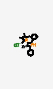 Cc1c(C)c(C)p(-c2c(-c3ccccc3)[pH]c(-c3ccccc3)[c]2[Zr+2])c1C.[Cl-].[Cl-]